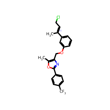 C/C(=C\CCl)c1cccc(OCc2nc(-c3ccc(C(F)(F)F)cc3)oc2C)c1